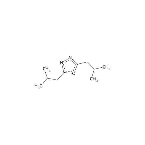 CC(C)Cc1nnc(CC(C)C)o1